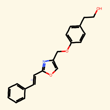 OCCc1ccc(OCc2coc(/C=C/c3ccccc3)n2)cc1